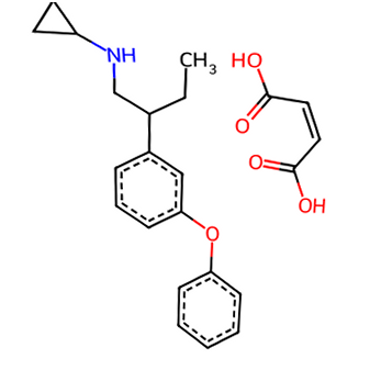 CCC(CNC1CC1)c1cccc(Oc2ccccc2)c1.O=C(O)/C=C\C(=O)O